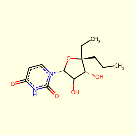 CCC[C@]1(CC)O[C@@H](n2ccc(=O)[nH]c2=O)C(O)[C@H]1O